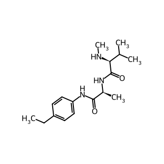 CCc1ccc(NC(=O)[C@H](C)NC(=O)[C@@H](NC)C(C)C)cc1